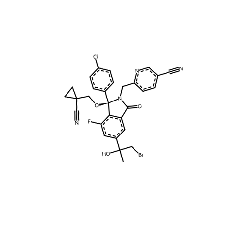 CC(O)(CBr)c1cc(F)c2c(c1)C(=O)N(Cc1ccc(C#N)cn1)[C@@]2(OCC1(C#N)CC1)c1ccc(Cl)cc1